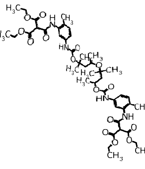 CCOC(=O)C(C(=O)Nc1cc(NC(=O)OC(C)CC(C)(C)OC(C)CC(C)(C)OC(=O)Nc2ccc(C)c(NC(=O)C(C(=O)OCC)C(=O)OCC)c2)ccc1C)C(=O)OCC